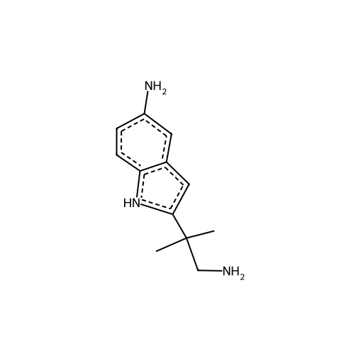 CC(C)(CN)c1cc2cc(N)ccc2[nH]1